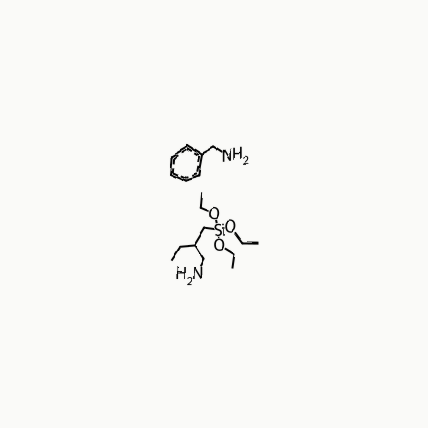 CCO[Si](CC(CC)CN)(OCC)OCC.NCc1ccccc1